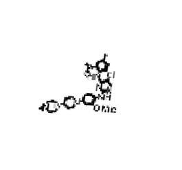 C=P(=O)c1cc(C)ccc1Nc1nc(Nc2ccc(N3CCC(N4CCN(C)CC4)CC3)cc2OC)ncc1Cl